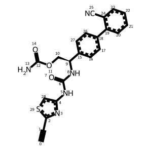 C#Cc1nc(NC(=O)N[C@@H](COC(N)=O)c2ccc(-c3ccccc3C#N)cc2)cs1